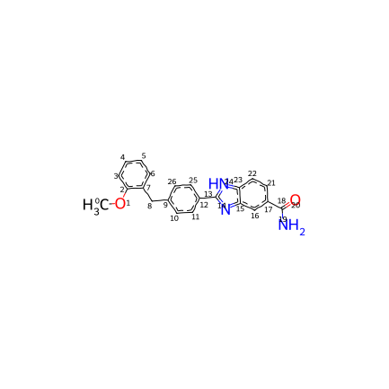 COc1ccccc1Cc1ccc(-c2nc3cc(C(N)=O)ccc3[nH]2)cc1